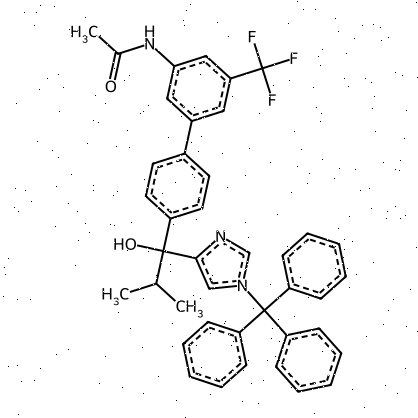 CC(=O)Nc1cc(-c2ccc(C(O)(c3cn(C(c4ccccc4)(c4ccccc4)c4ccccc4)cn3)C(C)C)cc2)cc(C(F)(F)F)c1